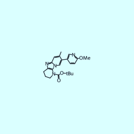 COc1ccc(-c2cn3c4c(nc3cc2C)CCCN4C(=O)OC(C)(C)C)cn1